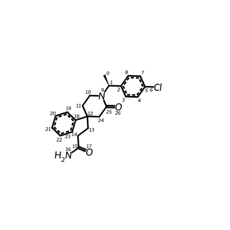 C[C@@H](c1ccc(Cl)cc1)N1CCC(CCC(N)=O)(c2ccccc2)CC1=O